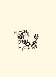 Cc1c(CNC(=O)c2noc(C(C)(C)C)n2)ccc(-c2ncnn3cc(N4CCOCC4)cc23)c1F